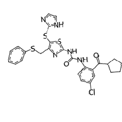 O=C(Nc1nc(CSc2ccccc2)c(Sc2ncc[nH]2)s1)Nc1ccc(Cl)cc1C(=O)C1CCCC1